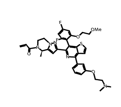 C=CC(=O)N1CCn2nc(-c3nc(-c4cccc(OCCN(C)C)c4)c4ccsc4c3-c3c(F)cc(F)cc3OCCOC)cc2[C@H]1C